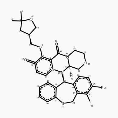 CC1(C)C[C@H](COc2c3n(ccc2=O)N([C@@H]2c4ccccc4SCc4c2ccc(F)c4F)[C@@H]2COCCN2C3=O)CO1